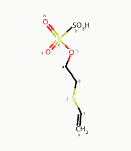 C=CSCCOS(=O)(=O)S(=O)(=O)O